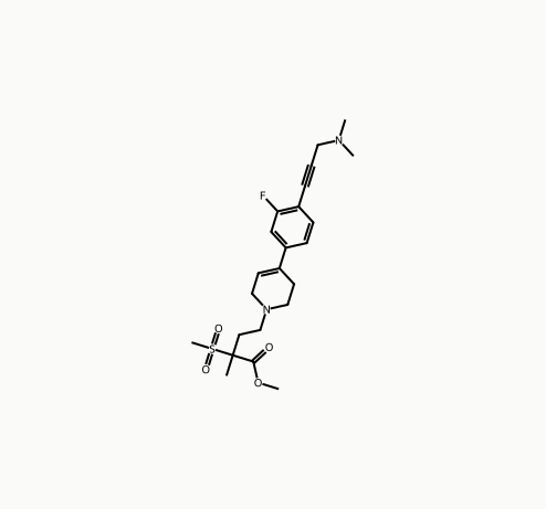 COC(=O)C(C)(CCN1CC=C(c2ccc(C#CCN(C)C)c(F)c2)CC1)S(C)(=O)=O